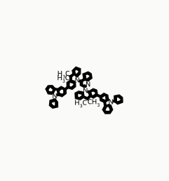 CC1(C)c2ccccc2N(c2cc(N3c4ccccc4C(C)(C)c4cc(-c5ccc6c(c5)c5ccccc5n6-c5ccccc5)ccc43)c3ccccc3n2)c2ccc(-c3ccc4c(c3)c3ccccc3n4-c3ccccc3)cc21